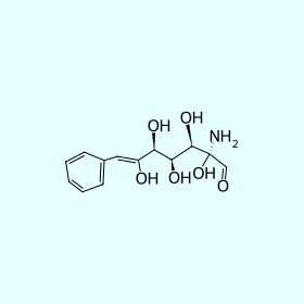 N[C@@](O)(C=O)[C@H](O)[C@@H](O)[C@H](O)C(O)=Cc1ccccc1